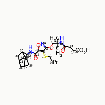 CC(C)CSc1c(OCC(C)(C)NC(=O)CCC(=O)O)noc1C(=O)NC1C2CC3CC(C2)CC1C3